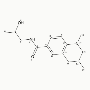 CC(O)CNC(=O)c1ccc2c(c1)CC(C)CN2C